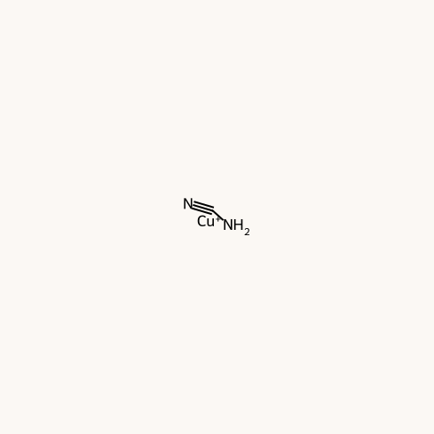 N#CN.[Cu+]